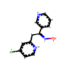 ON=C(Cc1cc(Cl)ccn1)c1cccnc1